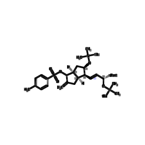 C=C1C[C@@H]2[C@H](/C=C/[C@H](CCCCC)O[Si](C)(C)C(C)(C)C)[C@H](O[Si](C)(C)C(C)(C)C)C[C@@H]2C1OS(=O)(=O)c1ccc(C)cc1